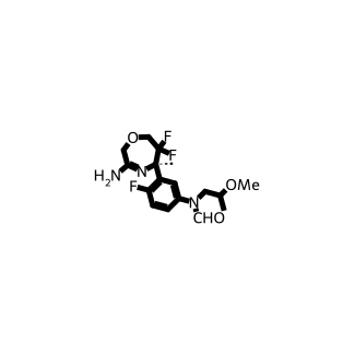 COC(C)CN(C=O)c1ccc(F)c([C@@]2(C)N=C(N)COCC2(F)F)c1